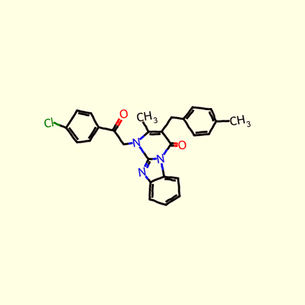 Cc1ccc(Cc2c(C)n(CC(=O)c3ccc(Cl)cc3)c3nc4ccccc4n3c2=O)cc1